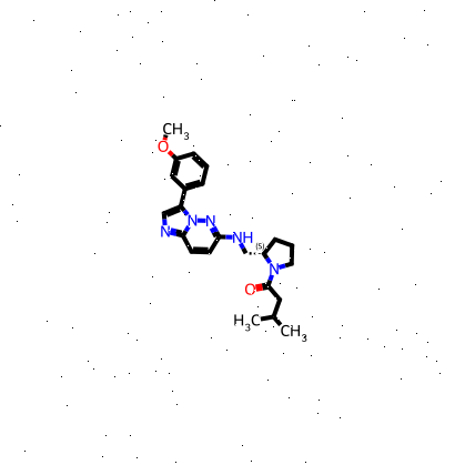 COc1cccc(-c2cnc3ccc(NC[C@@H]4CCCN4C(=O)CC(C)C)nn23)c1